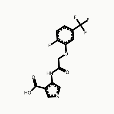 O=C(COc1cc(C(F)(F)F)ccc1F)Nc1cscc1C(=O)O